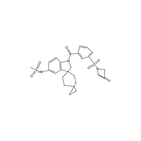 C=C1CN(S(=O)(=O)c2cccc(C(=O)N3CC4(CCC5(CC5)CC4)c4cc(NS(C)(=O)=O)ccc43)c2)C1